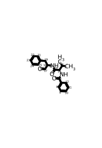 CC(C)[C@H](NC(=O)c1ccccc1)C(=O)NC(C=O)Cc1ccccc1